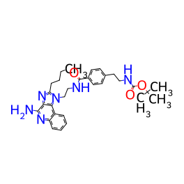 CCCCc1nc2c(N)nc3ccccc3c2n1CCNC(=O)c1ccc(CCNC(=O)OC(C)(C)C)cc1